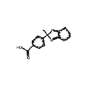 CC1(c2ccc(C(=O)O)cc2)N=c2ccccc2=N1